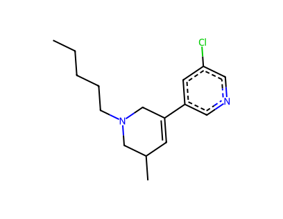 CCCCCN1CC(c2cncc(Cl)c2)=CC(C)C1